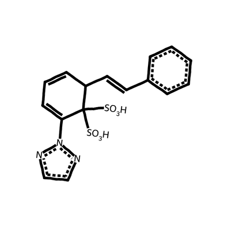 O=S(=O)(O)C1(S(=O)(=O)O)C(n2nccn2)=CC=CC1C=Cc1ccccc1